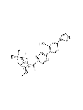 C=C(c1cnc(-c2ccc(-n3ccnc3)cc2O)nn1)[C@H]1C[C@@]2(C)NC(CC2(F)F)[C@@H]1OC